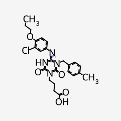 CCCOc1ccc(/N=c2\[nH]c(=O)n(CCCC(=O)O)c(=O)n2Cc2ccc(C)cc2)cc1Cl